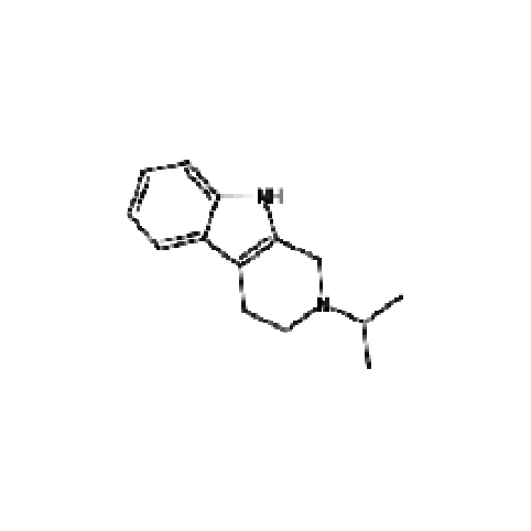 CC(C)N1CCc2c([nH]c3ccccc23)C1